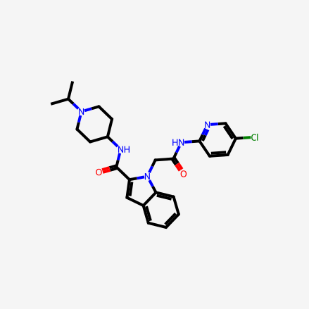 CC(C)N1CCC(NC(=O)c2cc3ccccc3n2CC(=O)Nc2ccc(Cl)cn2)CC1